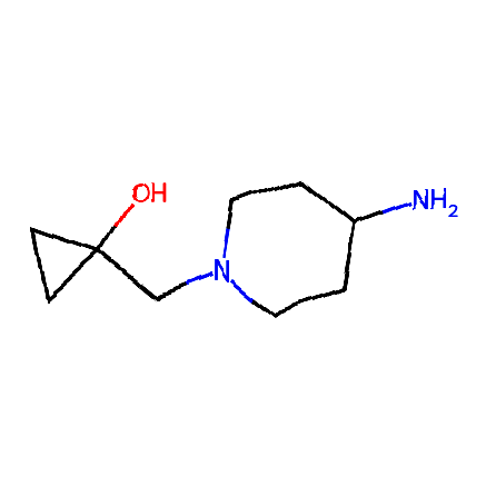 NC1CCN(CC2(O)CC2)CC1